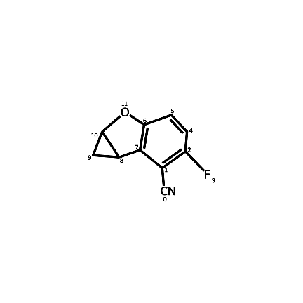 N#Cc1c(F)ccc2c1C1CC1O2